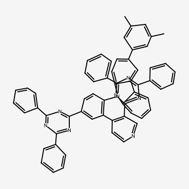 Cc1cc(C)cc(-c2ccc3c(c2)c2ccccc2n3-c2ccc(-c3nc(-c4ccccc4)nc(-c4ccccc4)n3)cc2-c2ccncc2-c2nc(-c3ccccc3)nc(-c3ccccc3)n2)c1